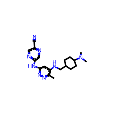 Cc1nnc(Nc2cnc(C#N)cn2)cc1NCC1CCC(N(C)C)CC1